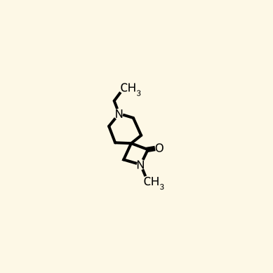 CCN1CCC2(CC1)CN(C)C2=O